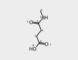 CBC(=O)CCC(=O)O